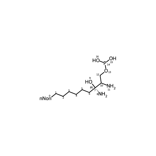 CCCCCCCCCCCCCCC[C@@](N)(O)C(N)COP(O)O